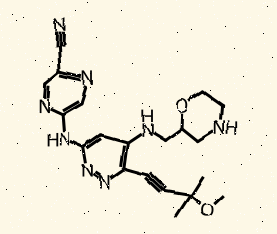 COC(C)(C)C#Cc1nnc(Nc2cnc(C#N)cn2)cc1NCC1CNCCO1